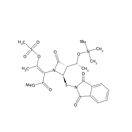 COC(=O)/C(=C(\C)OS(C)(=O)=O)N1C(=O)[C@H]([C@@H](C)O[Si](C)(C)C(C)(C)C)[C@H]1SN1C(=O)c2ccccc2C1=O